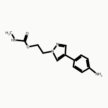 CNC(=O)OCCn1cc(-c2ccc(N)cc2)cn1